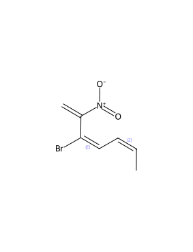 C=C(/C(Br)=C\C=C/C)[N+](=O)[O-]